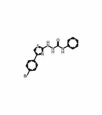 O=C(NNc1nc(-c2ccc(Br)cc2)cs1)Nc1ccccc1